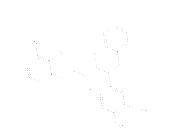 COc1ccc(C(Cc2ccccc2)C(N)[C@H](O)COc2cccc([N+](=O)[O-])c2N)cc1OC